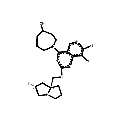 OC1CCCN(c2nc(OC[C@@]34CCCN3C[C@H](F)C4)nc3c(F)c(Cl)ncc23)CC1